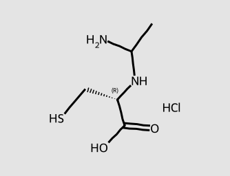 CC(N)N[C@@H](CS)C(=O)O.Cl